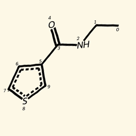 CCNC(=O)c1c[c]sc1